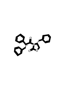 O=C1OC[C@@H](Cc2ccccc2)N1C(=O)[C@H](Cc1ccccc1)c1ccccc1